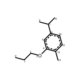 CCCOc1cc(C(C)C)ccc1C